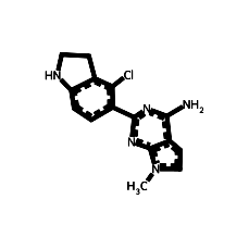 Cn1ccc2c(N)nc(-c3ccc4c(c3Cl)CCN4)nc21